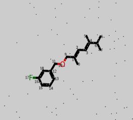 C/C(=C\C=C(/C)C(C)C)COCc1cccc(F)c1